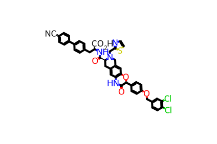 N#Cc1ccc(-c2ccc(C[C@H](NC(=O)[C@@H]3Cc4cc5c(cc4CN3Cc3nccs3)OC(c3ccc(OCc4ccc(Cl)c(Cl)c4)cc3)C(=O)N5)C(=O)O)cc2)cc1